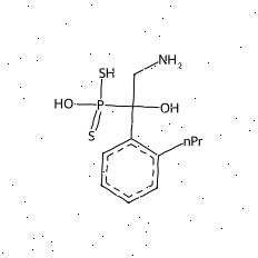 CCCc1ccccc1C(O)(CN)P(O)(=S)S